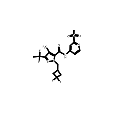 CC(F)(F)c1nn(CC2CC(F)(F)C2)c(C(=O)Nc2ccnc(S(C)(=O)=O)c2)c1C(F)(F)F